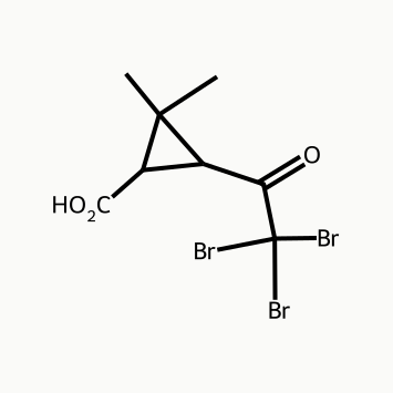 CC1(C)C(C(=O)O)C1C(=O)C(Br)(Br)Br